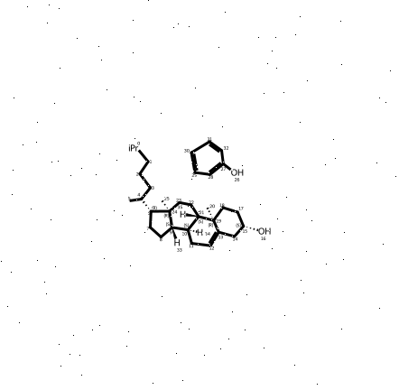 CC(C)CCCC(C)[C@H]1CC[C@H]2[C@@H]3CC=C4C[C@@H](O)CC[C@]4(C)[C@H]3CC[C@]12C.Oc1ccccc1